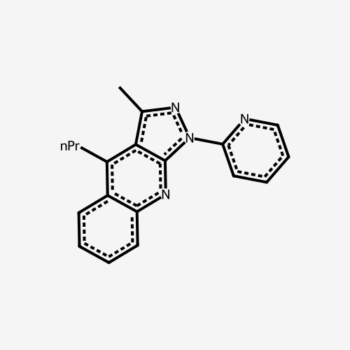 CCCc1c2ccccc2nc2c1c(C)nn2-c1ccccn1